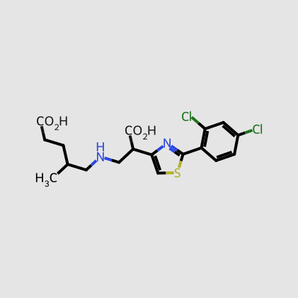 CC(CCC(=O)O)CNCC(C(=O)O)c1csc(-c2ccc(Cl)cc2Cl)n1